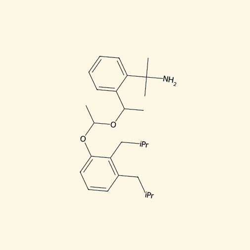 CC(C)Cc1cccc(OC(C)OC(C)c2ccccc2C(C)(C)N)c1CC(C)C